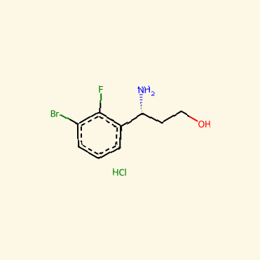 Cl.N[C@H](CCO)c1cccc(Br)c1F